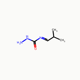 CC(C)C=NC(=O)NN